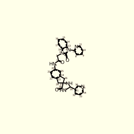 O=C(Cn1c(=O)n(-c2ccccn2)c2ccccc21)Nc1ccc2c(c1)CC1(C2)NC(c2cccnc2)NC1=O